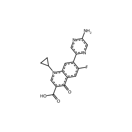 Nc1cnc(-c2cc3c(cc2F)c(=O)c(C(=O)O)cn3C2CC2)cn1